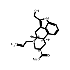 C=CCN1C[C@H](C(=O)OC)C[C@@H]2c3cccc4[nH]c(CO)c(c34)C[C@H]21